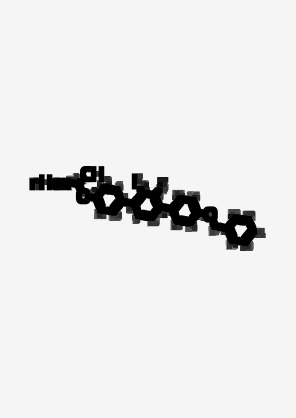 CCCCCCC(C)Oc1ccc(-c2ccc(-c3ccc(OCc4ccccc4)cc3)c(F)c2F)cc1